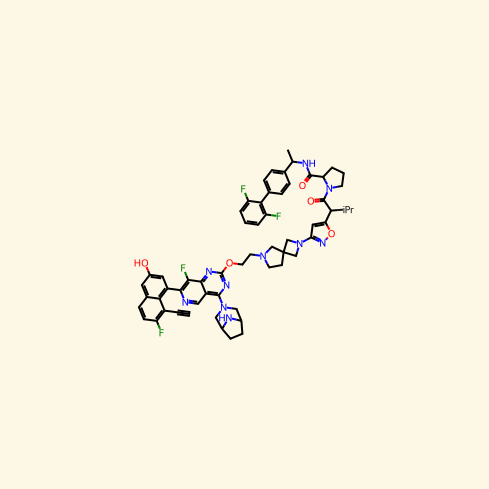 C#Cc1c(F)ccc2cc(O)cc(-c3ncc4c(N5CC6CCC(C5)N6)nc(OCCN5CCC6(C5)CN(c5cc(C(C(=O)N7CCCC7C(=O)NC(C)c7ccc(-c8c(F)cccc8F)cc7)C(C)C)on5)C6)nc4c3F)c12